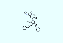 O=c1[nH]c(=O)n([C@H]2C[C@H](OCc3ccccc3)[C@@H](COCc3ccccc3)[C@@H]2O)cc1/C=C/Cl